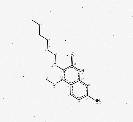 CCCCCCOc1c(OC)c2ccc(N)cc2[nH]c1=O